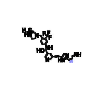 C[C@H]1CN(Cc2ccc(NC(O)c3cncc(C#Cc4cnc(/C=C\C=N)[nH]4)c3)cc2C(F)(F)F)CCN1